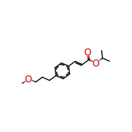 COCCCc1ccc(/C=C/C(=O)OC(C)C)cc1